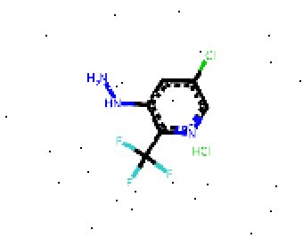 Cl.NNc1cc(Cl)cnc1C(F)(F)F